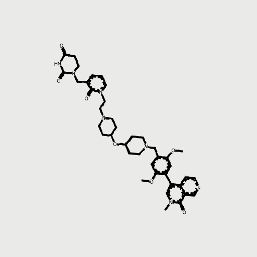 COc1cc(-c2cn(C)c(=O)c3cnccc23)c(OC)cc1CN1CCC(OC2CCN(CCn3cccc(CN4CCC(=O)NC4=O)c3=O)CC2)CC1